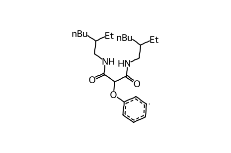 CCCCC(CC)CNC(=O)C(Oc1c[c]ccc1)C(=O)NCC(CC)CCCC